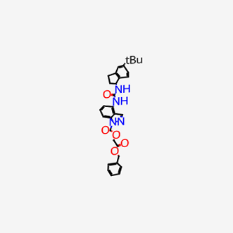 CC(C)(C)c1ccc2c(c1)CC[C@H]2NC(=O)Nc1cccc2c1cnn2C(=O)OCC(=O)OCc1ccccc1